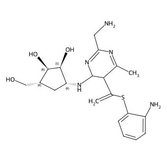 C=C(Sc1ccccc1N)C1C(C)=NC(CN)=NC1N[C@@H]1C[C@H](CO)[C@@H](O)[C@H]1O